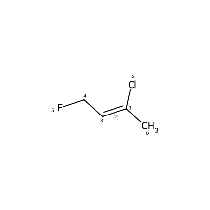 C/C(Cl)=C/CF